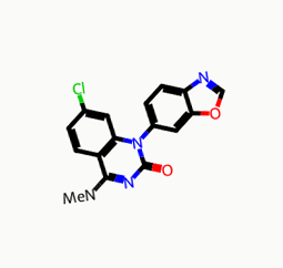 CNc1nc(=O)n(-c2ccc3ncoc3c2)c2cc(Cl)ccc12